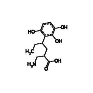 CCC(CC(CN)C(=O)O)c1c(O)ccc(O)c1O